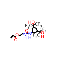 C=CC(=O)OCCNC(=O)NC1CC(C(O)(C(F)(F)F)C(F)(F)F)CC(C(O)(C(F)(F)F)C(F)(F)F)C1